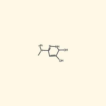 CCCN(C)C1=NNC(O)C(O)=C1